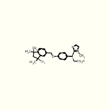 Cn1ccnc1[C@@H](CC(=O)O)c1ccc(OCc2ccc3c(c2)C(C)(C)CC3(C)C)cc1